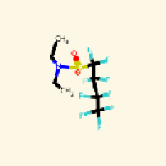 CCN(CC)S(=O)(=O)C(F)(F)C(F)(F)C(F)(F)C(F)(F)F